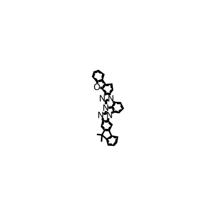 CC1(C)c2ccccc2-c2cc3c(cc21)nc1n3c2cccc3c2n1c1nc2c4oc5ccccc5c4ccc2n31